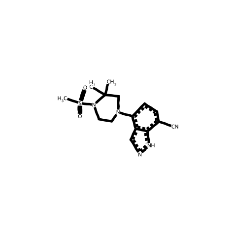 CC1(C)CN(c2ccc(C#N)c3[nH]ncc23)CCN1S(C)(=O)=O